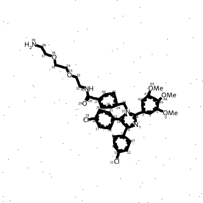 COc1cc(-c2nc(-c3ccc(Cl)cc3)c(-c3ccc(Cl)cc3)n2Cc2ccc(C(=O)NCCOCCOCCN)cc2)cc(OC)c1OC